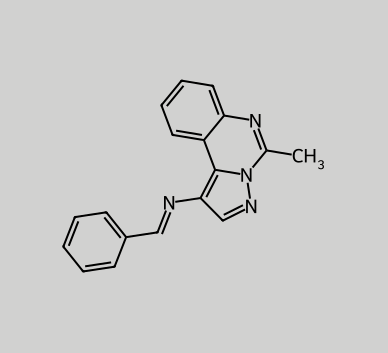 Cc1nc2ccccc2c2c(/N=C/c3ccccc3)cnn12